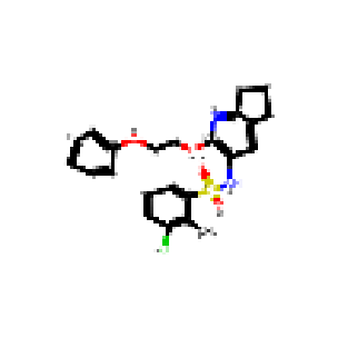 Cc1c(Cl)cccc1S(=O)(=O)Nc1cc2c(nc1OCCOc1ccccc1)CCC2